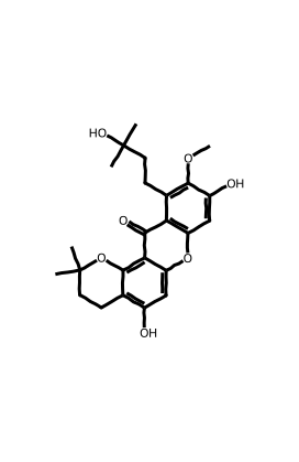 COc1c(O)cc2oc3cc(O)c4c(c3c(=O)c2c1CCC(C)(C)O)OC(C)(C)CC4